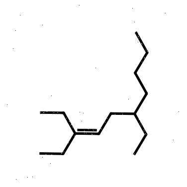 CCCCC(CC)CC=C(CC)CC